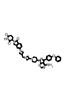 Nc1ncnc2c1c(-c1ccc(Oc3ccccc3)cc1)nn2C1CCN(C2CN(CC3CN(c4ccc5c(c4)CN(C4CCC(=O)NC4=O)C5=O)C3)C2)CC1